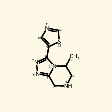 CC1CNCc2nnc(-c3cncs3)n21